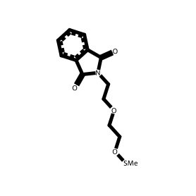 CSOCCOCCN1C(=O)c2ccccc2C1=O